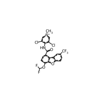 C[n+]1cc(Cl)c(NC(=O)c2ccc(OC(F)F)c3oc4ccc(C(F)(F)F)cc4c23)c(Cl)c1